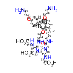 C[C@H](CCCNC(=O)CN(CCNCC(=O)O)CCN(CCNCC(=O)O)CC(=O)O)C1CC[C@H]2C3[C@H](OCCCN)CC4C[C@H](OCCCN)CCC4(C)[C@H]3C[C@H](OCCCN)C12C